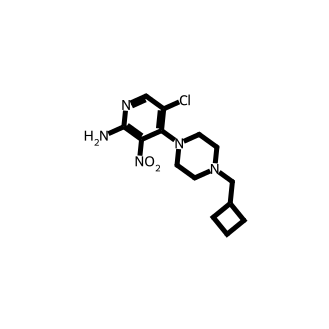 Nc1ncc(Cl)c(N2CCN(CC3CCC3)CC2)c1[N+](=O)[O-]